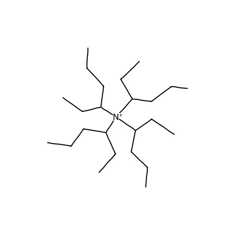 CCCC(CC)[N+](C(CC)CCC)(C(CC)CCC)C(CC)CCC